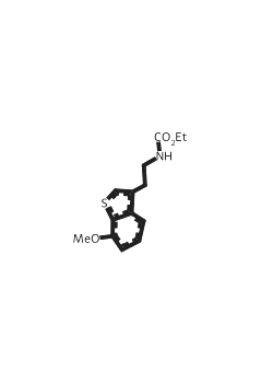 CCOC(=O)NCCc1csc2c(OC)cccc12